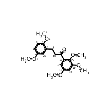 COc1ccc(OC)c(CCC(=O)c2cc(OC)cc(OC)c2OC)c1